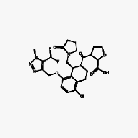 Cn1nnc(COc2ccc(Cl)c3c2[C@@H](CN2CCCC2=O)N(C(=O)C2CCOC2C(=O)O)CC3)c1C(F)F